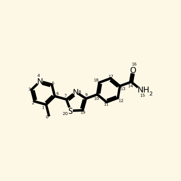 Cc1ccncc1-c1nc(-c2ccc(C(N)=O)cc2)cs1